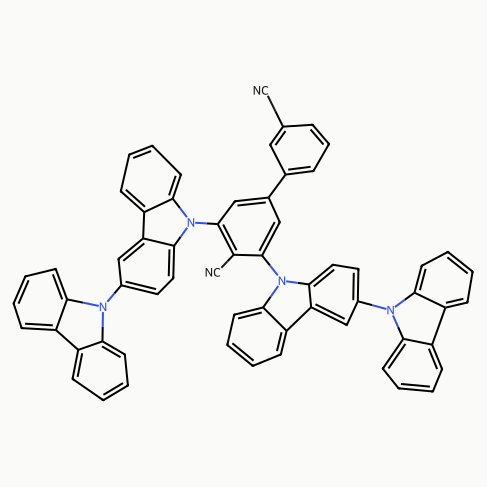 N#Cc1cccc(-c2cc(-n3c4ccccc4c4cc(-n5c6ccccc6c6ccccc65)ccc43)c(C#N)c(-n3c4ccccc4c4cc(-n5c6ccccc6c6ccccc65)ccc43)c2)c1